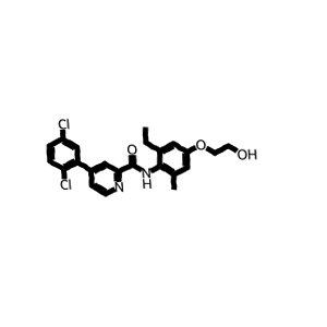 CCc1cc(OCCO)cc(C)c1NC(=O)c1cc(-c2cc(Cl)ccc2Cl)ccn1